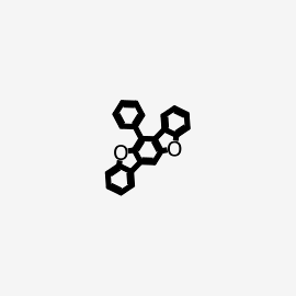 c1ccc(-c2c3oc4ccccc4c3cc3oc4ccccc4c23)cc1